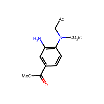 CCOC(=O)N(CC(C)=O)c1ccc(C(=O)OC)cc1N